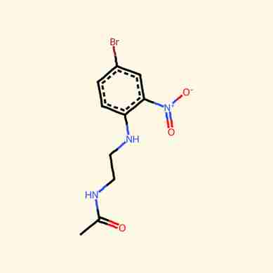 CC(=O)NCCNc1ccc(Br)cc1[N+](=O)[O-]